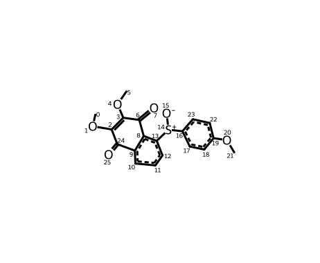 COC1=C(OC)C(=O)c2c(cccc2[S+]([O-])c2ccc(OC)cc2)C1=O